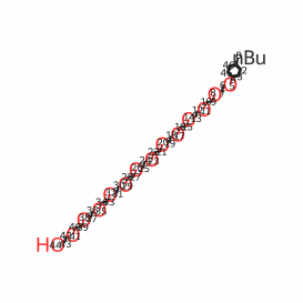 CCCCc1ccc(OCCOCCOCCOCCOCCOCCOCCOCCOCCOCCOCCOCCOCCO)cc1